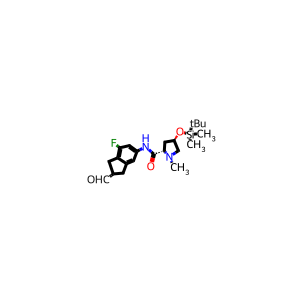 CN1C[C@H](O[Si](C)(C)C(C)(C)C)C[C@H]1C(=O)Nc1cc(F)c2c(c1)CC(C=O)C2